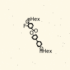 CCCCCCOc1ccc(-c2ccc(OC(=O)c3ccc(OCCCCCC)c(F)c3)cc2)cc1